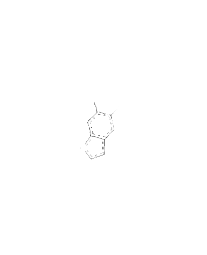 Oc1cc2ccoc2cc1O